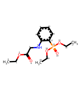 CCOC(=O)CNc1ccccc1P(=O)(OCC)OCC